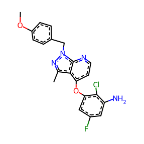 COc1ccc(Cn2nc(C)c3c(Oc4cc(F)cc(N)c4Cl)ccnc32)cc1